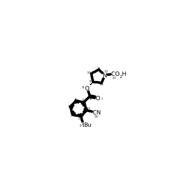 CC(C)(C)c1cccc(C(=O)O[C@@H]2CCN(C(=O)O)C2)c1C#N